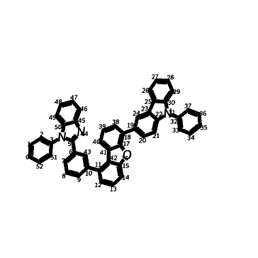 c1ccc(-n2c(-c3cccc(-c4cccc5oc6c(-c7ccc8c(c7)c7ccccc7n8-c7ccccc7)cccc6c45)c3)nc3ccccc32)cc1